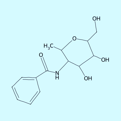 CC1OC(CO)C(O)C(O)C1NC(=O)c1ccccc1